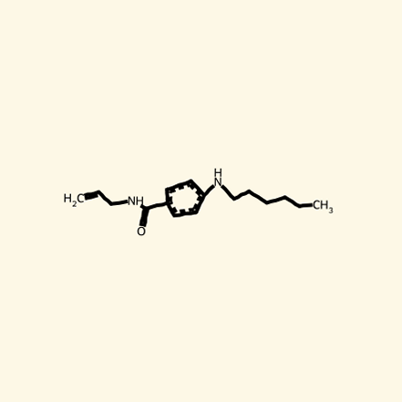 C=CCNC(=O)c1ccc(NCCCCCC)cc1